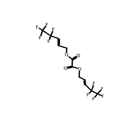 O=C(OC/C=C/C(F)(F)C(F)(F)F)C(=O)OC/C=C/C(F)(F)C(F)(F)F